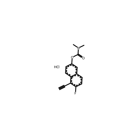 C#Cc1c(F)ccc2cc(OC(=O)N(C)C)ccc12.Cl